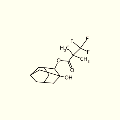 CC(C)(C(=O)OC1C2CC3CC(C2)CC1(O)C3)C(F)(F)F